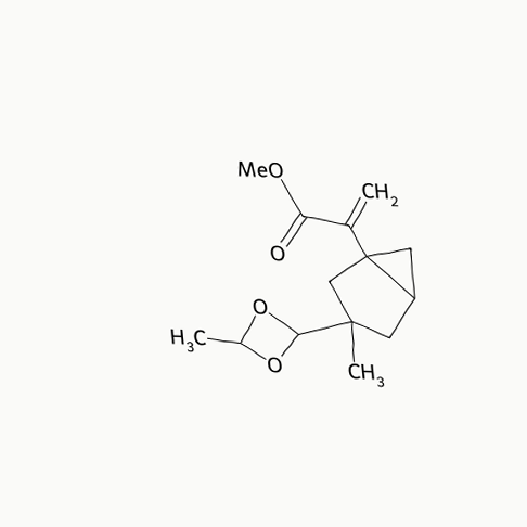 C=C(C(=O)OC)C12CC1CC(C)(C1OC(C)O1)C2